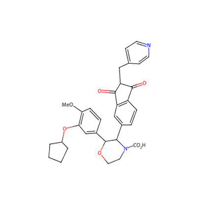 COc1ccc(C2OCCN(C(=O)O)C2c2ccc3c(c2)C(=O)C(Cc2ccncc2)C3=O)cc1OC1CCCC1